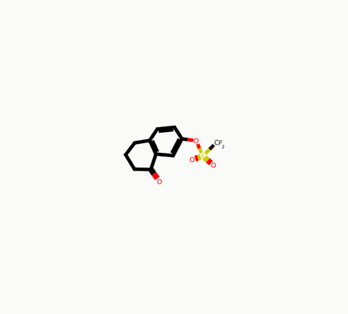 O=C1CCCc2ccc(OS(=O)(=O)C(F)(F)F)cc21